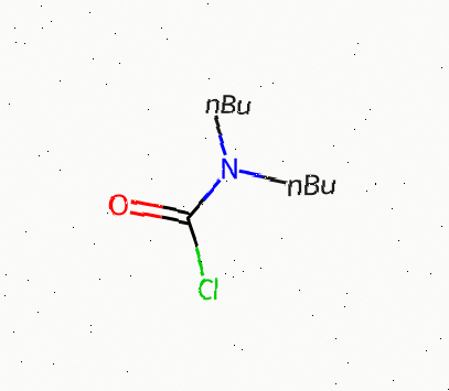 CCCCN(CCCC)C(=O)Cl